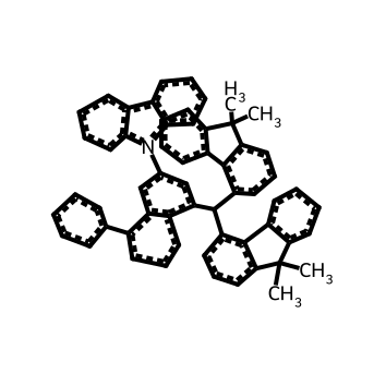 CC1(C)c2ccccc2-c2c(C(c3cccc4c3-c3ccccc3C4(C)C)c3cc(-n4c5ccccc5c5ccccc54)cc4c(-c5ccccc5)cccc34)cccc21